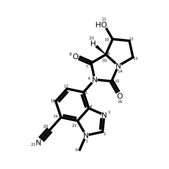 Cn1cnc2c(N3C(=O)[C@@H]4C(O)CCN4C3=O)ccc(C#N)c21